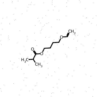 C=COCCCCOC(=O)C(C)C